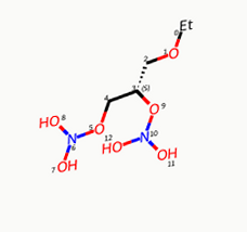 CCOC[C@@H](CON(O)O)ON(O)O